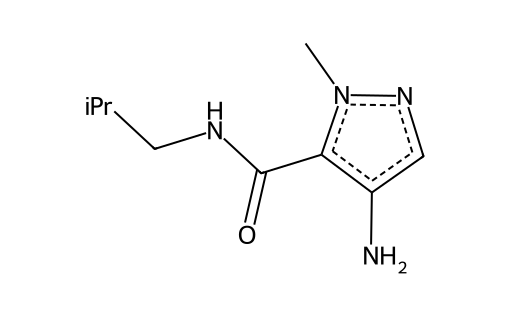 CC(C)CNC(=O)c1c(N)cnn1C